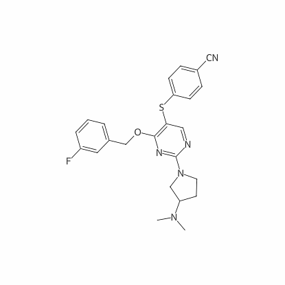 CN(C)C1CCN(c2ncc(Sc3ccc(C#N)cc3)c(OCc3cccc(F)c3)n2)C1